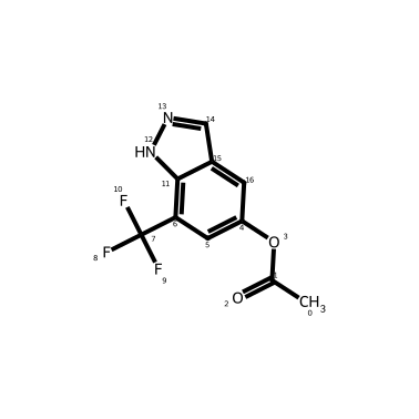 CC(=O)Oc1cc(C(F)(F)F)c2[nH]ncc2c1